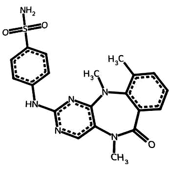 Cc1cccc2c1N(C)c1nc(Nc3ccc(S(N)(=O)=O)cc3)ncc1N(C)C2=O